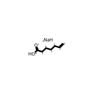 C=CCCCCC(=O)O.[NaH]